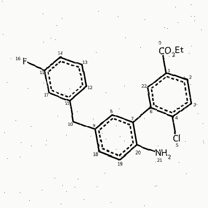 CCOC(=O)c1ccc(Cl)c(-c2cc(Cc3cccc(F)c3)ccc2N)c1